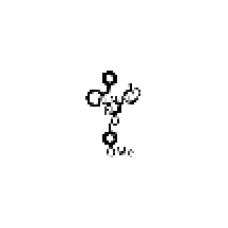 COc1ccc(COc2cc(N3CCOC(C)C3)nc(N3CCCCCC3Cc3ccccc3)n2)cc1